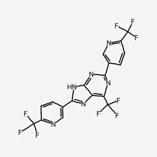 FC(F)(F)c1ccc(-c2nc(C(F)(F)F)c3nc(-c4ccc(C(F)(F)F)nc4)[nH]c3n2)cn1